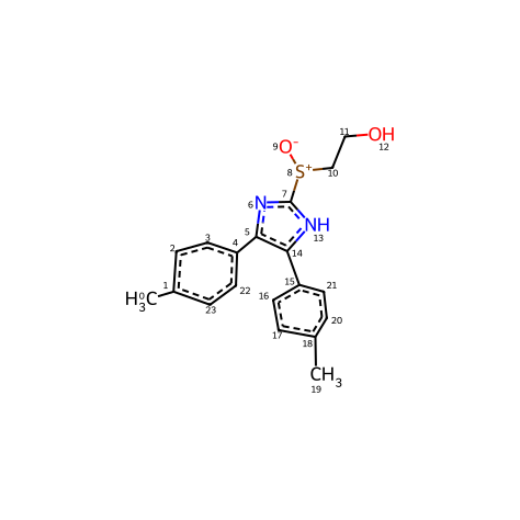 Cc1ccc(-c2nc([S+]([O-])CCO)[nH]c2-c2ccc(C)cc2)cc1